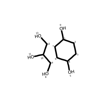 OC1CCC(O)CC1.OCC(O)CO